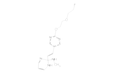 CNC1(C=Cc2cnc(OCCOCCF)nc2)N=CC=CN1